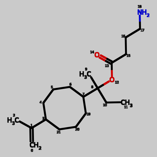 C=C(C)C1CCCC(C(C)(CC)OC(=O)CCCN)CCC1